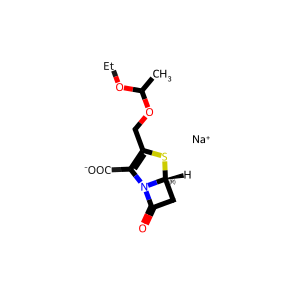 CCOC(C)OCC1=C(C(=O)[O-])N2C(=O)C[C@H]2S1.[Na+]